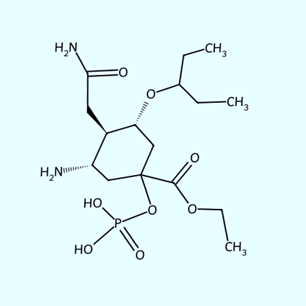 CCOC(=O)C1(OP(=O)(O)O)C[C@H](N)[C@@H](CC(N)=O)[C@H](OC(CC)CC)C1